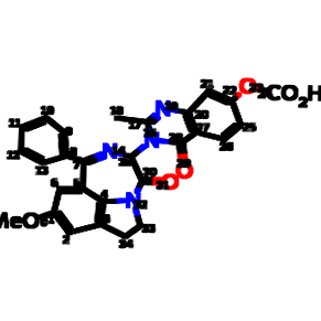 COc1cc2c3c(c1)C(c1ccccc1)=NC(n1c(C)nc4cc(OC(=O)O)ccc4c1=O)C(=O)N3CC2